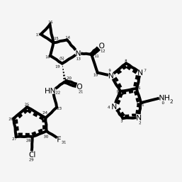 Nc1ncnc2c1ncn2CC(=O)N1CC2(CC2)C[C@H]1C(=O)NCc1cccc(Cl)c1F